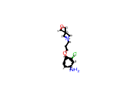 Nc1ccc(OCCCN2CC3(COC3)C2)c(Cl)c1